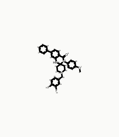 COc1ccc(N2C(=O)c3ccc(-c4ccccc4)cc3NC23CCN(Cc2ccc(F)c(F)c2)CC3)cc1